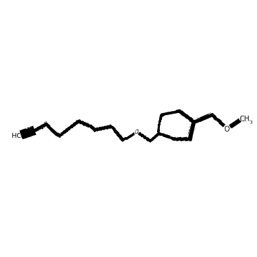 C#CCCCCCCOCC1CCC(COC)CC1